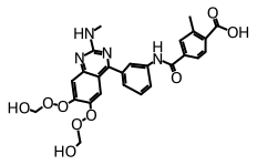 CNc1nc(-c2cccc(NC(=O)c3ccc(C(=O)O)c(C)c3)c2)c2cc(OOCO)c(OOCO)cc2n1